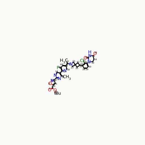 Cc1nc(-c2cc(C(=O)OC(C)(C)C)on2)ncc1-c1ncc(C(C)N2CC3(CC(c4cccc(N5CCC(=O)NC5=O)c4Cl)C3)C2)cc1F